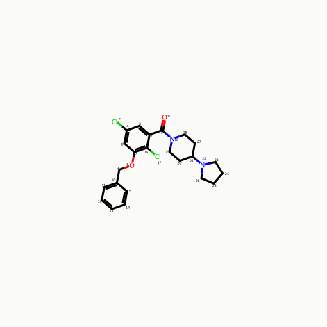 O=C(c1cc(Cl)cc(OCc2ccccc2)c1Cl)N1CCC(N2CCCC2)CC1